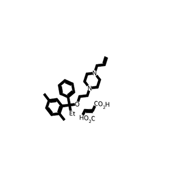 C=CCN1CCN(CCOC(CC)(c2ccccc2)c2cc(C)ccc2C)CC1.O=C(O)C=CC(=O)O